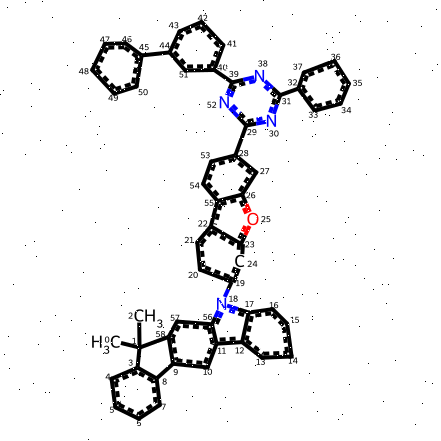 CC1(C)c2ccccc2-c2cc3c4ccccc4n(-c4ccc5c(c4)oc4cc(-c6nc(-c7ccccc7)nc(-c7cccc(-c8ccccc8)c7)n6)ccc45)c3cc21